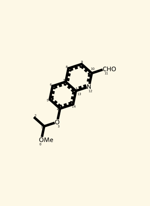 COC(C)Oc1ccc2ccc(C=O)nc2c1